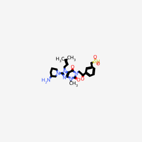 CC(C)=CCn1c(N2CCCC(N)C2)nc2c1c(=O)n(CC(=O)c1cccc(C[SH](=O)=O)c1)c(=O)n2C